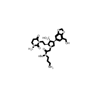 CCCCN(CCCN)C(=O)CN1C[C@H](c2cc(CO)c3c(c2)OCO3)[C@@H](C(=O)O)[C@@H]1CCN1C(=O)CCN(C)C1=O